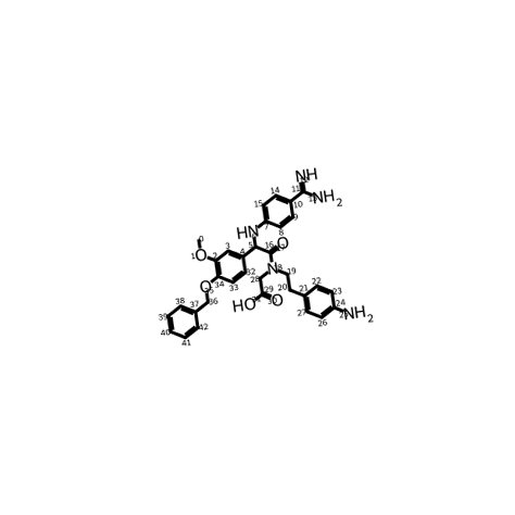 COc1cc(C(Nc2ccc(C(=N)N)cc2)C(=O)N(CCc2ccc(N)cc2)CC(=O)O)ccc1OCc1ccccc1